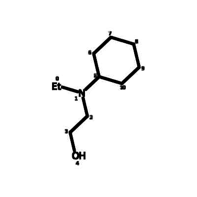 CCN(CCO)C1CCCCC1